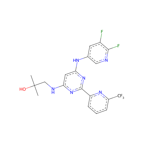 CC(C)(O)CNc1cc(Nc2cnc(F)c(F)c2)nc(-c2cccc(C(F)(F)F)n2)n1